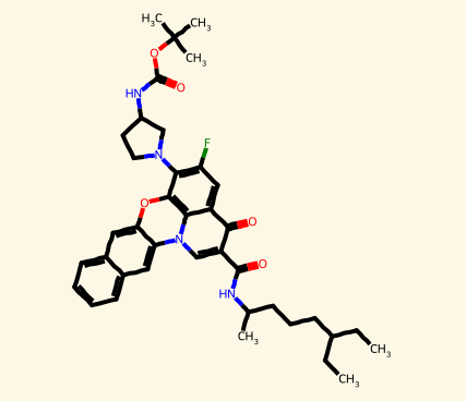 CCC(CC)CCCC(C)NC(=O)c1cn2c3c(c(N4CCC(NC(=O)OC(C)(C)C)C4)c(F)cc3c1=O)Oc1cc3ccccc3cc1-2